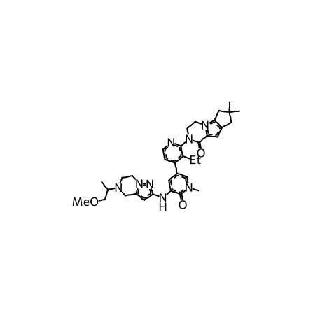 CCc1c(-c2cc(Nc3cc4n(n3)CCN(C(C)COC)C4)c(=O)n(C)c2)ccnc1N1CCn2c(cc3c2CC(C)(C)C3)C1=O